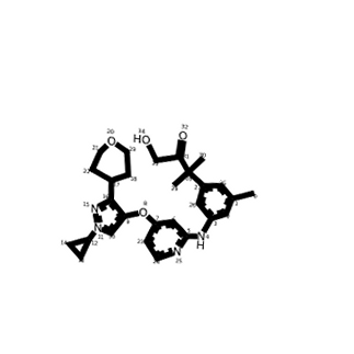 Cc1cc(Nc2cc(Oc3cn(C4CC4)nc3C3CCOCC3)ccn2)cc(C(C)(C)C(=O)CO)c1